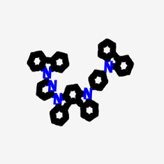 c1cc(-n2c3ccccc3c3ccccc32)nc(-n2c3ccccc3c3c4c5ccccc5n(-c5ccc(-n6c7ccccc7c7ccccc76)cc5)c4ccc32)c1